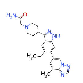 CCc1cc2c(C3CCN(CC(N)=O)CC3)n[nH]c2cc1-c1cc(C)c2ncnn2c1